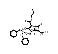 CCCOC(=O)C1=C(O[PH](O)(Oc2ccccc2)Oc2ccccc2)[C@H](C)[C@@H]2[C@@H]([C@@H](C)O)C(=O)N12